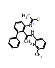 C=C(Nc1cccc(C(F)(F)F)n1)c1c(/N=C(\C)Cl)cccc1-c1ccccc1